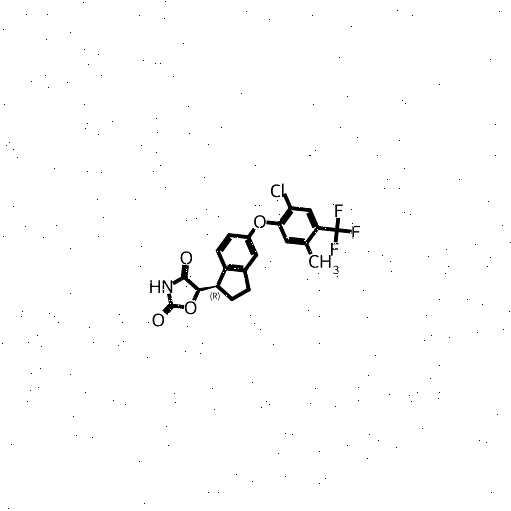 Cc1cc(Oc2ccc3c(c2)CC[C@H]3C2OC(=O)NC2=O)c(Cl)cc1C(F)(F)F